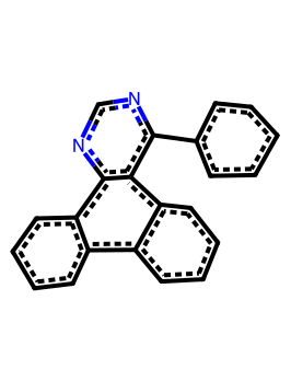 c1ccc(-c2ncnc3c4ccccc4c4ccccc4c23)cc1